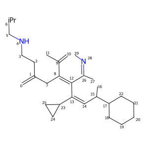 C=C(CCNCC(C)C)C/C(C(=C)C)=C(C(=C/C(C)C1CCCCC1)\C1CC1)/C(C)=N\C